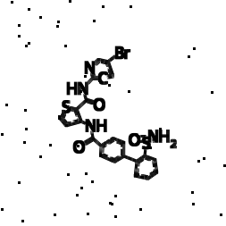 N[S+]([O-])c1ccccc1-c1ccc(C(=O)Nc2ccsc2C(=O)Nc2ccc(Br)cn2)cc1